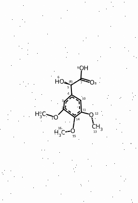 COc1cc([C@@H](O)C(=O)O)cc(OC)c1OC